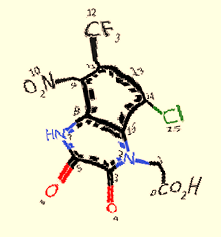 O=C(O)Cn1c(=O)c(=O)[nH]c2c([N+](=O)[O-])c(C(F)(F)F)cc(Cl)c21